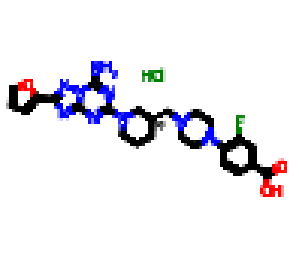 Cl.Nc1nc(N2CCC[C@H](CN3CCN(c4ccc(C(=O)O)cc4F)CC3)C2)nc2nc(-c3ccco3)nn12